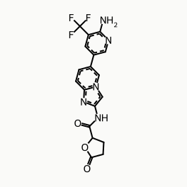 Nc1ncc(-c2ccc3nc(NC(=O)C4CCC(=O)O4)cn3c2)cc1C(F)(F)F